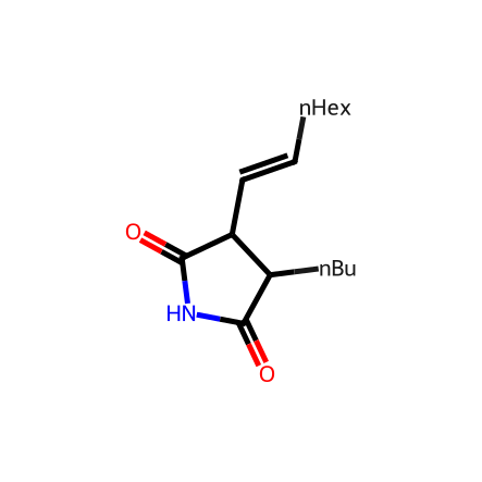 CCCCCCC=CC1C(=O)NC(=O)C1CCCC